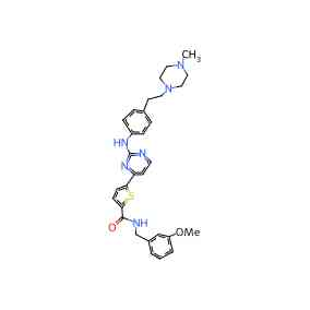 COc1cccc(CNC(=O)c2ccc(-c3ccnc(Nc4ccc(CCN5CCN(C)CC5)cc4)n3)s2)c1